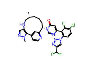 C[C@@H]1CCC[C@H](n2cnc(-c3c(-n4cc(C(F)F)nn4)ccc(Cl)c3F)cc2=O)c2cc(ccn2)-c2c(cnn2C)NC1